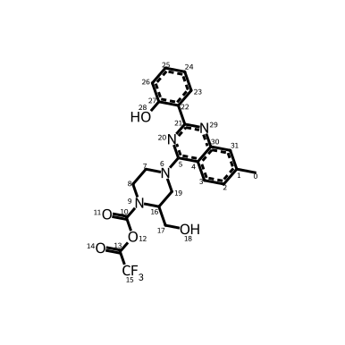 Cc1ccc2c(N3CCN(C(=O)OC(=O)C(F)(F)F)C(CO)C3)nc(-c3ccccc3O)nc2c1